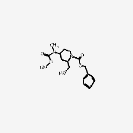 CN(C(=O)OC(C)(C)C)C1CCN(C(=O)OCc2ccccc2)C(CO)C1